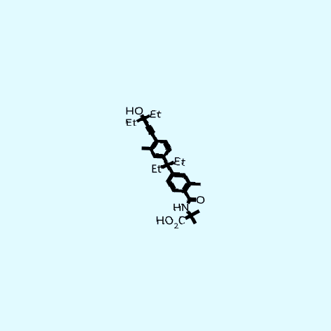 CCC(O)(C#Cc1ccc(C(CC)(CC)c2ccc(C(=O)NC(C)(C)C(=O)O)c(C)c2)cc1C)CC